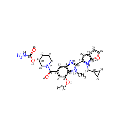 COc1cc(C(=O)N2CCC[C@@H](OC(N)=O)C2)cc2nc(-c3cc4ccoc4n3CC3CC3)n(C)c12